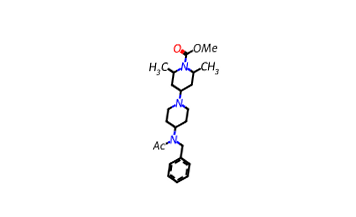 COC(=O)N1C(C)CC(N2CCC(N(Cc3ccccc3)C(C)=O)CC2)CC1C